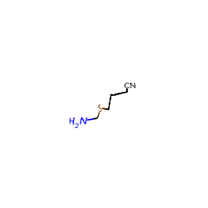 N#CCCCSCN